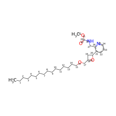 CCCCCCCCCCCCCCCCOCC1CC(c2cccnc2CNC(=O)OC)O1